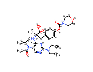 CCN(CC)c1ncc(N(C(C)=O)C(C)C)c(NC(C)(Cc2ccc(OC(=O)N3CCOCC3)cc2)C(=O)O)n1